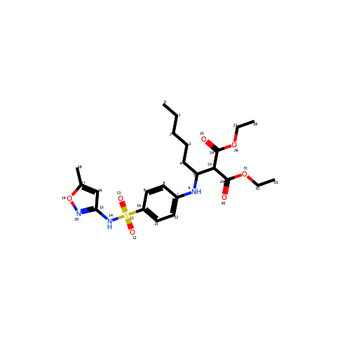 CCCCCC(Nc1ccc(S(=O)(=O)Nc2cc(C)on2)cc1)C(C(=O)OCC)C(=O)OCC